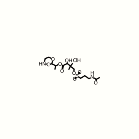 CC(=O)NCCCS(=O)(=O)OCC(C)(C)C(O)C(=O)OC(C)C1CNCCO1.Cl